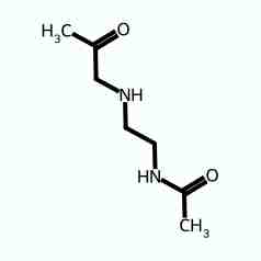 CC(=O)CNCCNC(C)=O